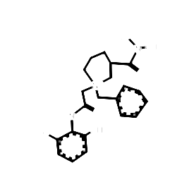 Cc1cccc(C)c1NC(=O)C[N+]1(Cc2ccccc2)CCCC(C(=O)N(C)C)C1